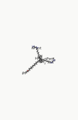 CCCCC/C=C\C/C=C\CCCCCCCC(=O)N[C](NC(=O)CCCCCCC/C=C\C/C=C\CCCCC)C(C)CCCCCCCCCCCCCCCC(C)C